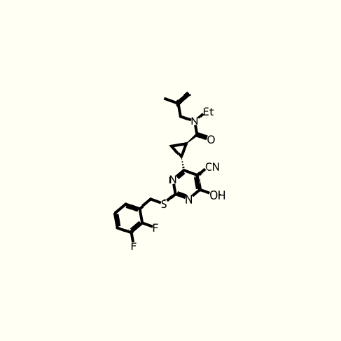 C=C(C)CN(CC)C(=O)[C@@H]1C[C@H]1c1nc(SCc2cccc(F)c2F)nc(O)c1C#N